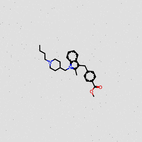 CCCCN1CCC(Cn2c(C)c(Cc3ccc(C(=O)OC)cc3)c3ccccc32)CC1